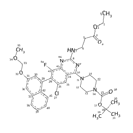 CCOC(=O)CCNc1nc(N2CCN(C(=O)OC(C)(C)C)CC2)c2cc(Cl)c(-c3cc(OCOC)cc4ccccc34)c(F)c2n1